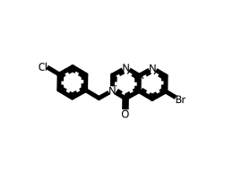 O=c1c2cc(Br)cnc2ncn1Cc1ccc(Cl)cc1